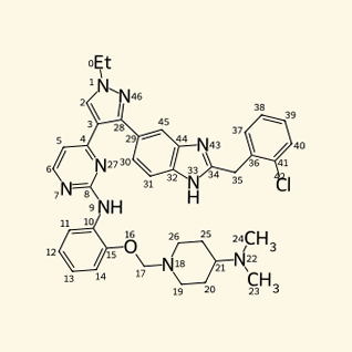 CCn1cc(-c2ccnc(Nc3ccccc3OCN3CCC(N(C)C)CC3)n2)c(-c2ccc3[nH]c(Cc4ccccc4Cl)nc3c2)n1